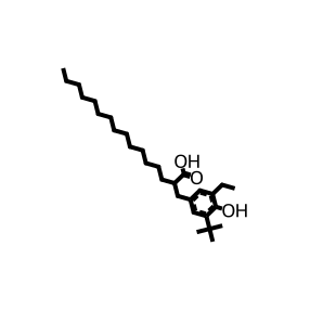 CCCCCCCCCCCCCCC(Cc1cc(CC)c(O)c(C(C)(C)C)c1)C(=O)O